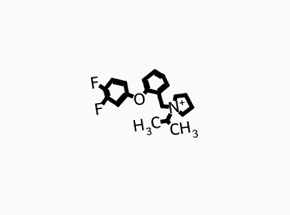 CC(C)[N+]1(Cc2ccccc2Oc2ccc(F)c(F)c2)CCCC1